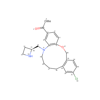 COC(=O)c1ccc2c(c1)N(C[C@@H]1CCN1)CCCCc1cc(Cl)ccc1CO2